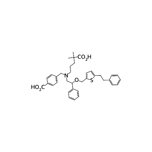 CC(C)(CCCN(Cc1ccc(C(=O)O)cc1)CC(OCc1ccc(CCc2ccccc2)s1)c1ccccc1)C(=O)O